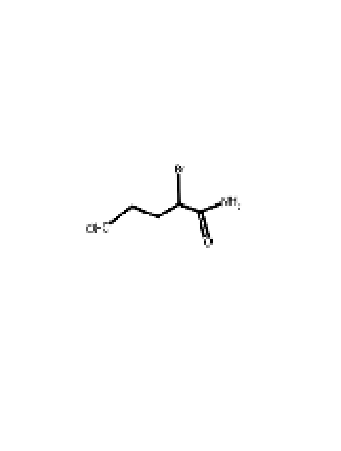 NC(=O)C(Br)CCC=O